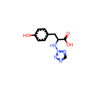 O=C(O)C(Cc1ccc(O)cc1)Nn1ncnn1